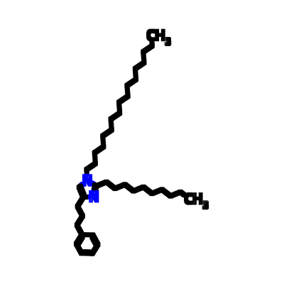 CCCCCCCCCCCCCCCCCn1cc(CCCc2ccccc2)nc1CCCCCCCCCC